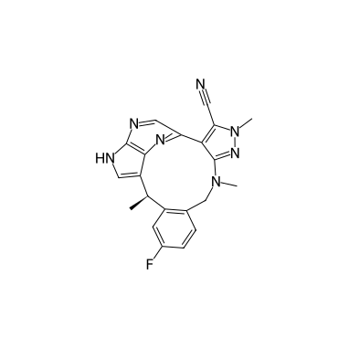 C[C@@H]1c2cc(F)ccc2CN(C)c2nn(C)c(C#N)c2-c2cnc3[nH]cc1c3n2